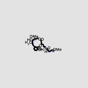 CO/N=C/C=C\C(=O)N/C=C/CC1CC(=O)OC(OC)/C=C/C(O)/C(C)=C\Cc2cccc(O)c2C(=O)O1